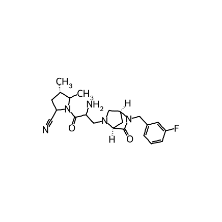 CC1[C@@H](C)CC(C#N)N1C(=O)C(N)CN1C[C@@H]2C[C@H]1C(=O)N2Cc1cccc(F)c1